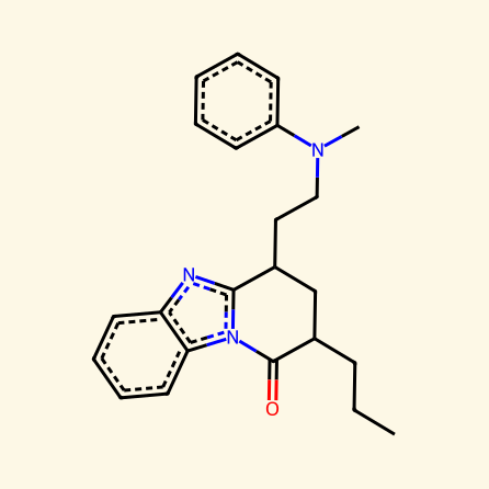 CCCC1CC(CCN(C)c2ccccc2)c2nc3ccccc3n2C1=O